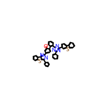 c1ccc(-c2nc(-c3ccc4c(c3)sc3ccccc34)nc(-c3cccc4oc5cc(-c6nc(-c7ccccc7)c7sc8ccccc8c7n6)ccc5c34)n2)cc1